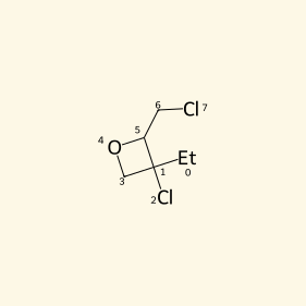 CCC1(Cl)COC1CCl